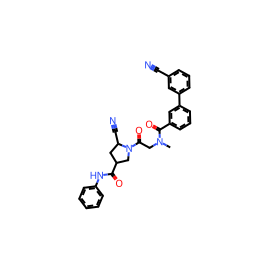 CN(CC(=O)N1CC(C(=O)Nc2ccccc2)CC1C#N)C(=O)c1cccc(-c2cccc(C#N)c2)c1